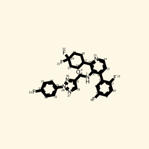 O=C(Nc1c(-c2cc(F)ccc2F)ccnc1C1CCC(F)(F)CC1)c1cnn(-c2ccc(F)cc2)n1